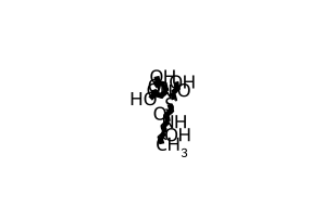 CCC(O)CNC(=O)CSCC(C(=O)O)N(CC(=O)O)CC(=O)O